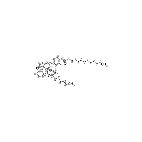 CCCCCCCCCCCCC(=O)Oc1ccc(C2C=CC(C(=O)O)(c3ccccc3C(=O)O[C@H](CCCOCC)C(F)(F)F)C=C2)cc1